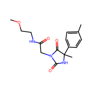 COCCNC(=O)CN1C(=O)NC(C)(c2ccc(C)cc2)C1=O